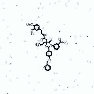 C=CCC1(CC(=O)NCCc2ccc(OC)c(OCC)c2)SC(c2ccc(OCc3ccccc3)cc2)N(c2cccc(C(N)=O)c2)C1=O